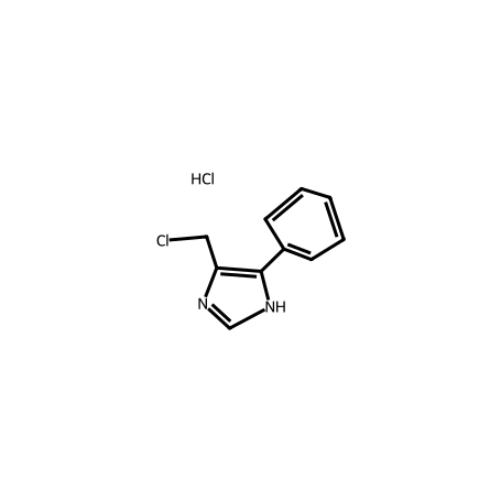 Cl.ClCc1nc[nH]c1-c1ccccc1